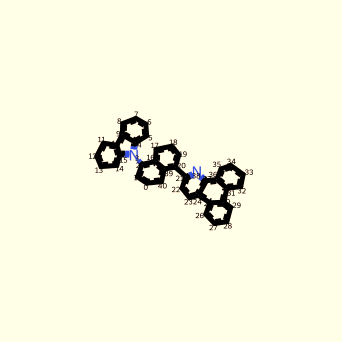 c1cc(-n2c3ccccc3c3ccccc32)c2cccc(-c3ccc4c5ccccc5c5ccccc5c4n3)c2c1